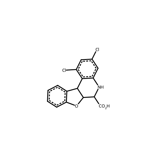 O=C(O)C1Nc2cc(Cl)cc(Cl)c2C2c3ccccc3OC12